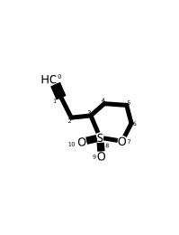 C#CCC1CCCOS1(=O)=O